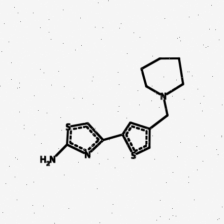 Nc1nc(-c2cc(CN3CCCCC3)cs2)cs1